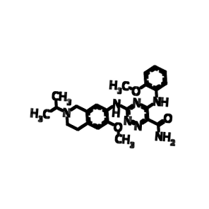 COc1cc2c(cc1Nc1nnc(C(N)=O)c(Nc3ccccc3OC)n1)CN(C(C)C)CC2